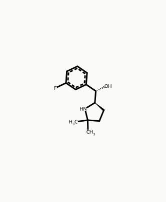 CC1(C)CC[C@H]([C@@H](O)c2cccc(F)c2)N1